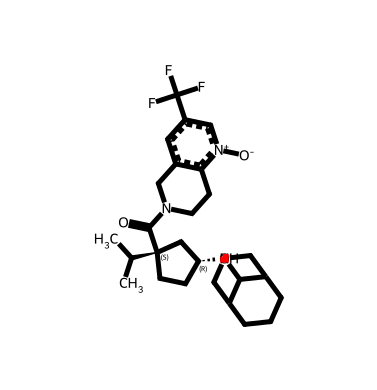 CC(C)[C@]1(C(=O)N2CCc3c(cc(C(F)(F)F)c[n+]3[O-])C2)CC[C@@H](NC2C3CCCC2COC3)C1